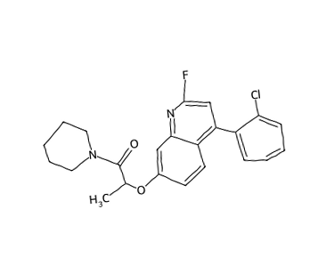 CC(Oc1ccc2c(-c3ccccc3Cl)cc(F)nc2c1)C(=O)N1CCCCC1